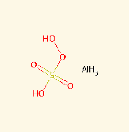 O=S(=O)(O)OO.[AlH3]